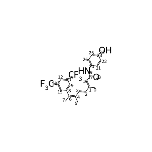 CC(C=CC(C)=C(C)c1cc(C(F)(F)F)cc(C(F)(F)F)c1)=CC(=O)Nc1ccc(O)cc1